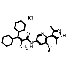 COc1cc(NC(=O)C(N)=C(C2CCCCC2)C2CCCCC2)cnc1-c1c(C)n[nH]c1C.Cl